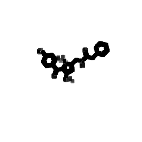 Cc1cc(CNC(=O)Cc2ccccc2)n(C)c1C(=O)c1ccc(Cl)cc1